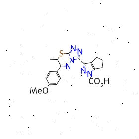 COc1ccc(C2=Nn3c(nnc3-c3nn(C(=O)O)c4c3CCC4)SC2C)cc1